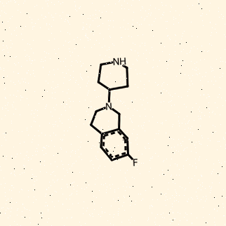 Fc1ccc2c(c1)CN(C1CCNCC1)CC2